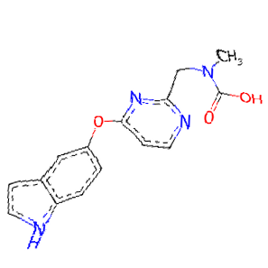 CN(Cc1nccc(Oc2ccc3[nH]ccc3c2)n1)C(=O)O